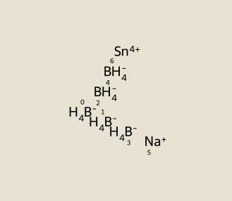 [BH4-].[BH4-].[BH4-].[BH4-].[BH4-].[Na+].[Sn+4]